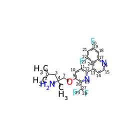 CC(C)CC(C)(N)COc1ccc(-c2ccnc3cc(F)cc(F)c23)nc1C(F)F